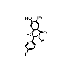 CC(C)c1cc(C(=O)N(Cc2ccc(F)cc2)C(C)C)c(O)cc1O